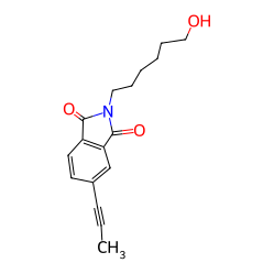 CC#Cc1ccc2c(c1)C(=O)N(CCCCCCO)C2=O